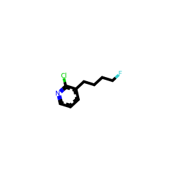 FCCCCc1cccnc1Cl